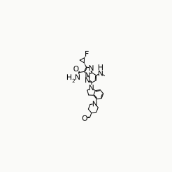 CNc1cc(N2CCc3c(N4CCC(C=O)CC4)cccc32)nn2c(C(N)=O)c([C@H]3C[C@@H]3F)nc12